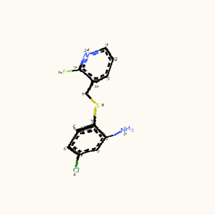 Nc1cc(Cl)ccc1SCc1cccnc1F